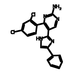 Nc1ncc(-c2nc(-c3ccccc3)c[nH]2)c(-c2ccc(Cl)cc2Cl)n1